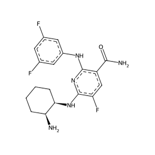 NC(=O)c1cc(F)c(N[C@@H]2CCCC[C@@H]2N)nc1Nc1cc(F)cc(F)c1